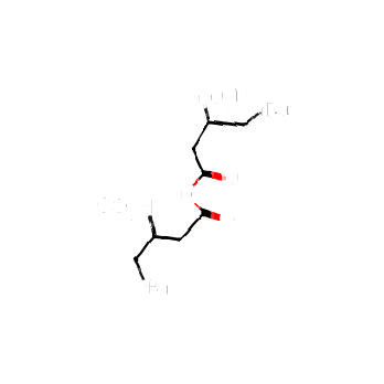 CCC(C)CC(CC(=O)OC(=O)CC(CC(C)CC)C(=O)O)C(=O)O